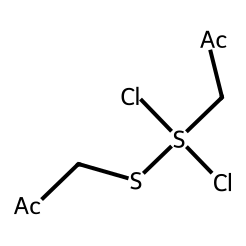 CC(=O)CSS(Cl)(Cl)CC(C)=O